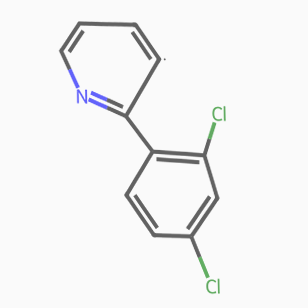 Clc1ccc(-c2[c]cccn2)c(Cl)c1